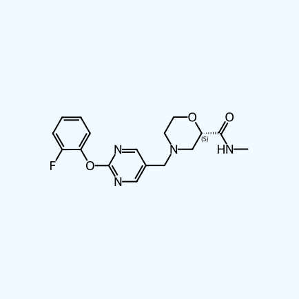 CNC(=O)[C@@H]1CN(Cc2cnc(Oc3ccccc3F)nc2)CCO1